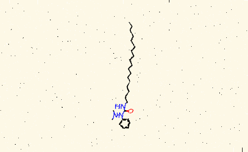 CCCCCCCCCCCCCCCCCCNC(=O)N(c1ccccc1)N(C)C